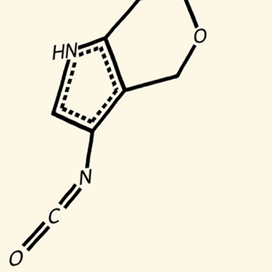 O=C=Nc1c[nH]c2c1COCC2